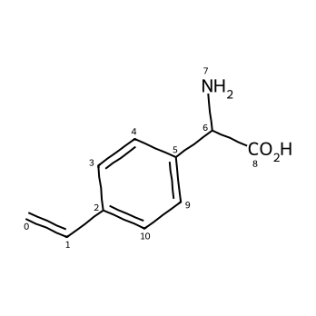 C=Cc1ccc(C(N)C(=O)O)cc1